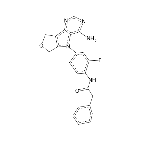 Nc1ncnc2c3c(n(-c4ccc(NC(=O)Cc5ccccc5)c(F)c4)c12)COC3